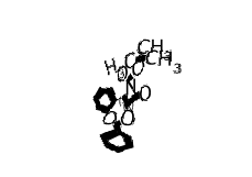 CC(C)(C)OC(=O)N1C(=O)[C@H](OC(=O)c2ccccc2)[C@@H]1c1ccccc1